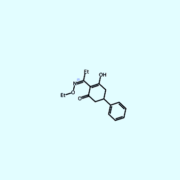 CCO/N=C(/CC)C1=C(O)CC(c2ccccc2)CC1=O